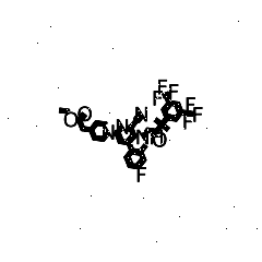 CCOC(=O)CC1CCN(c2cc(-c3ccc(F)cc3C)c(NCC(=O)C(C)(C)c3cc(C(F)(F)F)cc(C(F)(F)F)c3)c(C#N)n2)CC1